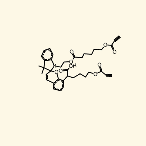 C#CC(=O)OCCCCCC(=O)OCCN1c2ccccc2C(C)(C)C12C=Cc1cccc(C(CCCCOC(=O)C#C)C(=O)O)c1O2